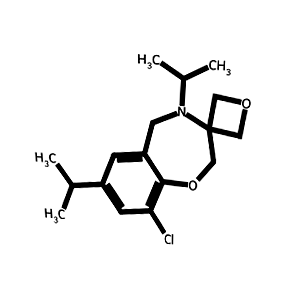 CC(C)c1cc(Cl)c2c(c1)CN(C(C)C)C1(COC1)CO2